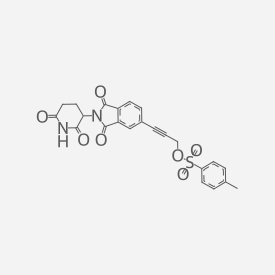 Cc1ccc(S(=O)(=O)OCC#Cc2ccc3c(c2)C(=O)N(C2CCC(=O)NC2=O)C3=O)cc1